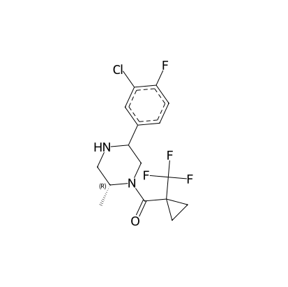 C[C@@H]1CNC(c2ccc(F)c(Cl)c2)CN1C(=O)C1(C(F)(F)F)CC1